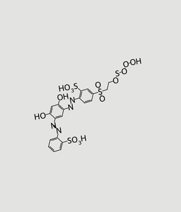 O=S(=O)(O)c1ccccc1/N=N/c1cc(/N=N/c2ccc(S(=O)(=O)CCOSOOO)cc2S(=O)(=O)O)c(O)cc1O